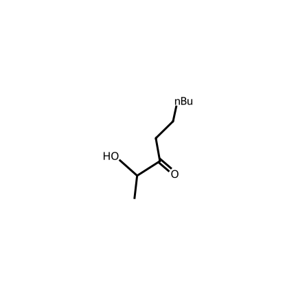 CCCCCCC(=O)C(C)O